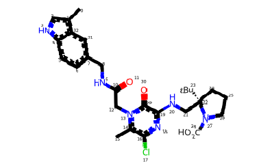 Cc1c[nH]c2ccc(CNC(=O)Cn3c(C)c(Cl)nc(NC[C@@]4(C(C)(C)C)CCCN4C(=O)O)c3=O)cc12